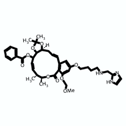 COCOc1cc(OCCCCNCc2ncc[nH]2)cc2c1C(=O)O[C@@H](C)[C@H](C)/C=C\C(OC(=O)c1ccccc1)C1OC(C)(C)O[C@H]1C/C=C/2